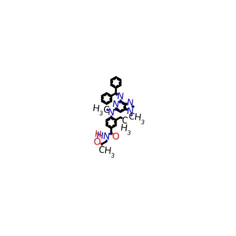 CCc1cc(C(=O)NC[C@@H](C)O)ccc1N(C)c1cc2c(ncn2C)c(N=C(c2ccccc2)c2ccccc2)n1